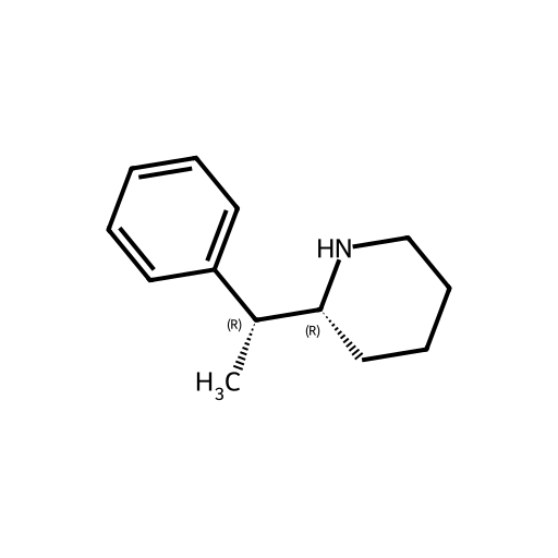 C[C@H](c1ccccc1)[C@H]1CCCCN1